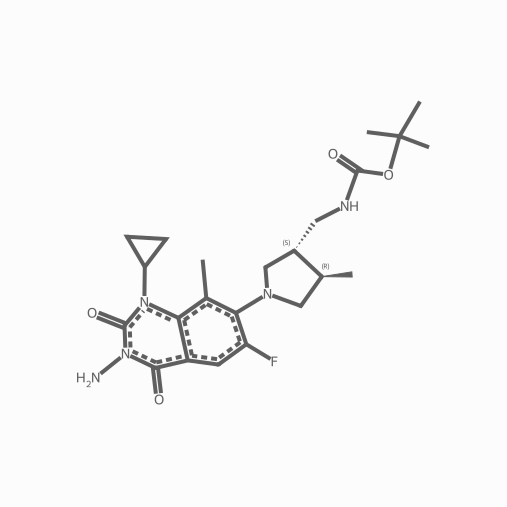 Cc1c(N2C[C@H](CNC(=O)OC(C)(C)C)[C@@H](C)C2)c(F)cc2c(=O)n(N)c(=O)n(C3CC3)c12